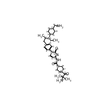 CCN(C(C)Cc1ccc(-n2ccc(NC(=O)N3CCN(C(=O)C(C)(C)N)CC3)nc2=O)cc1)C1CCC(CN)CC1